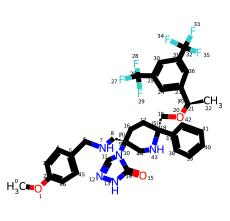 COc1ccc(CNC[C@]2(n3cn[nH]c3=O)CC[C@@](CO[C@H](C)c3cc(C(F)(F)F)cc(C(F)(F)F)c3)(c3ccccc3)NC2)cc1